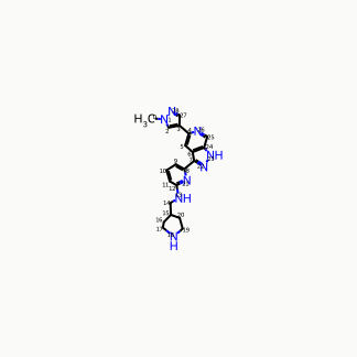 Cn1cc(-c2cc3c(-c4cccc(NCC5CCNCC5)n4)n[nH]c3cn2)cn1